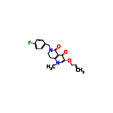 C=CCOc1cn(C)c2c(c1=O)C(=O)N(Cc1ccc(F)cc1)CC2